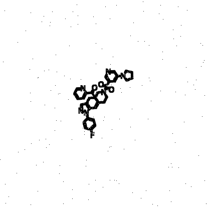 O=C(c1ccccn1)[C@]12Cc3cnn(-c4ccc(F)cc4)c3C=C1CCN(S(=O)(=O)c1cncc(N3CCCC3)c1)C2